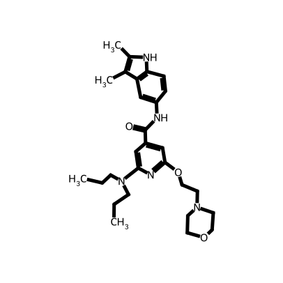 CCCN(CCC)c1cc(C(=O)Nc2ccc3[nH]c(C)c(C)c3c2)cc(OCCN2CCOCC2)n1